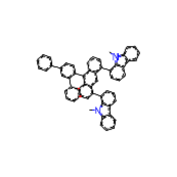 Cn1c2ccccc2c2cccc(-c3cccc4c(-c5ccc(-c6ccccc6)cc5-c5ccccc5)c5cccc(-c6cccc7c8ccccc8n(C)c67)c5cc34)c21